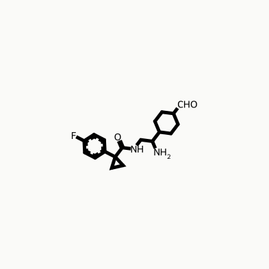 NC(CNC(=O)C1(c2ccc(F)cc2)CC1)C1CCC(C=O)CC1